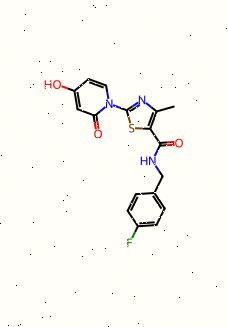 Cc1nc(-n2ccc(O)cc2=O)sc1C(=O)NCc1ccc(F)cc1